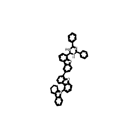 c1ccc(C2=NC(c3ccccc3)NC(c3cccc4c3sc3ccc(-c5cccc6c5oc5cccc(-n7c8c(c9ccccc97)CCCC8)c56)cc34)N2)cc1